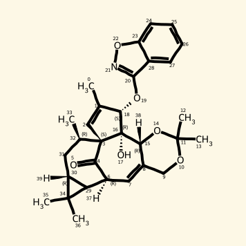 CC1=C[C@]23C(=O)[C@@H](C=C4COC(C)(C)O[C@H]4[C@]2(O)[C@H]1Oc1noc2ccccc12)C1[C@@H](C[C@H]3C)C1(C)C